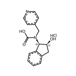 Cl.O=C(O)N(Cc1ccncc1)[C@@H]1c2ccccc2C[C@@H]1O